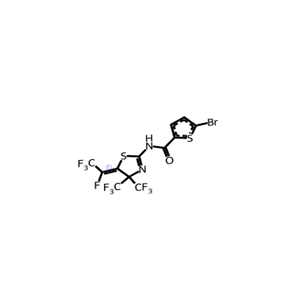 O=C(NC1=NC(C(F)(F)F)(C(F)(F)F)/C(=C(\F)C(F)(F)F)S1)c1ccc(Br)s1